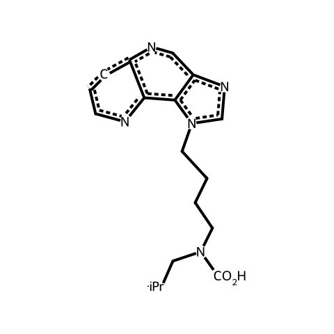 C[C](C)CN(CCCCn1cnc2cnc3cccnc3c21)C(=O)O